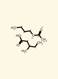 CCC(C)CC(=O)O.CCCCOC(C)=O